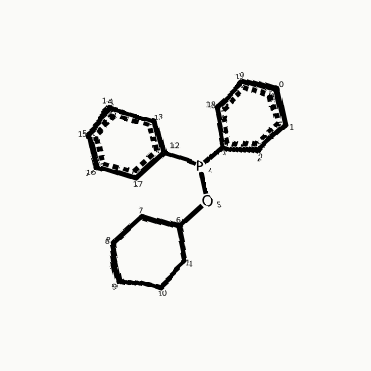 c1ccc(P(OC2CCCCC2)c2ccccc2)cc1